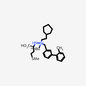 CCCC[N+](CCC1CCCCC1)(Cc1cccc(-c2ccccc2C)c1)N[C@@H](CCSC)C(=O)O